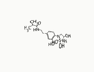 CC(C)C(=O)NCCc1ccc(N2CC(O)NS2(O)O)c(O)c1